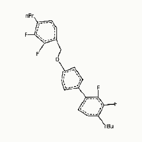 CCCCc1ccc(-c2ccc(OCc3ccc(CCC)c(F)c3F)cc2)c(F)c1F